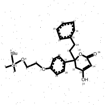 CC(C)(C)[Si](C)(C)OCCOc1ccc(C2(CCc3ccccc3)CC(O)=CC(=O)O2)cc1